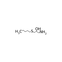 CCCCCSCC(O)CN